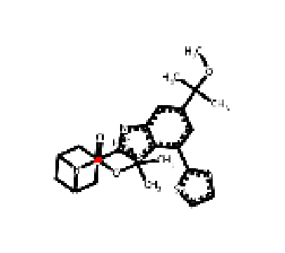 COC(C)(C)c1cc(-c2nccs2)c2oc(N3CC4CC(C3)N4C(=O)OC(C)(C)C)nc2c1